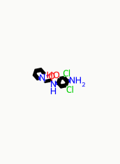 Nc1c(Cl)cc(NC(=O)C[n+]2ccccc2)c(O)c1Cl